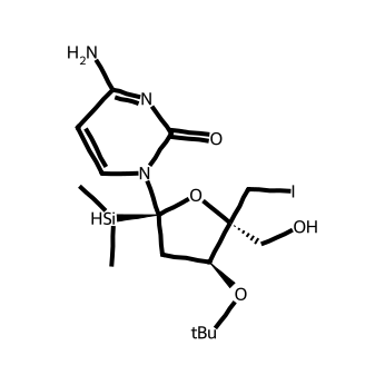 C[SiH](C)[C@]1(n2ccc(N)nc2=O)C[C@H](OC(C)(C)C)[C@](CO)(CI)O1